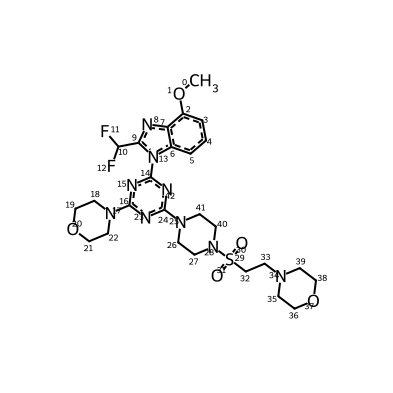 COc1cccc2c1nc(C(F)F)n2-c1nc(N2CCOCC2)nc(N2CCN(S(=O)(=O)CCN3CCOCC3)CC2)n1